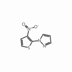 O=[N+]([O-])c1ccsc1-n1cccn1